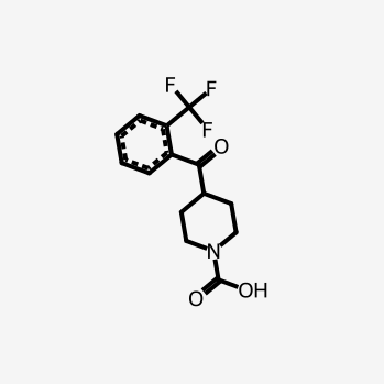 O=C(c1ccccc1C(F)(F)F)C1CCN(C(=O)O)CC1